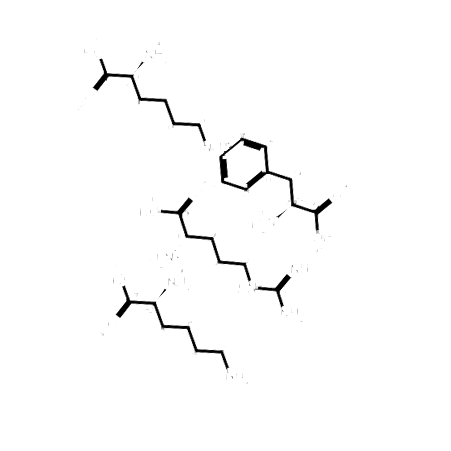 N=C(N)NCCC[C@H](N)C(=O)O.NCCCC[C@H](N)C(=O)O.NCCCC[C@H](N)C(=O)O.N[C@@H](Cc1ccccc1)C(=O)O